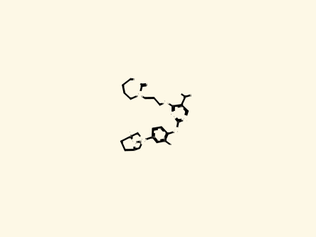 CCc1cc(N2C[C@H]3CC[C@@H](C2)N3C)ccc1Nc1ncc(C(F)F)c(NCCCN2CCCCOC2=O)n1